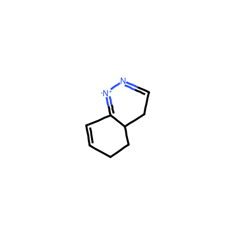 C1=CC2=[N+]N=CCC2CC1